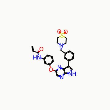 C=CC(=O)Nc1cccc(Oc2cnc3[nH]cc(-c4cccc(CN5CCS(=O)(=O)CC5)c4)c3n2)c1